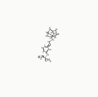 C[C@@H](N)Cc1cccc(OCCC23CC4CC(CC(C4)C2)C3)c1